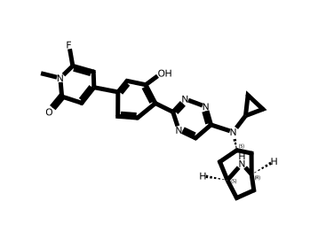 Cn1c(F)cc(-c2ccc(-c3ncc(N(C4CC4)[C@@H]4C[C@H]5CC[C@@H](C4)N5)nn3)c(O)c2)cc1=O